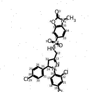 Cn1c(=O)oc2cc(S(=O)(=O)NCC3=NN(c4ccc(Cl)cc4Cl)C(c4ccc(Cl)cc4)C3)ccc21